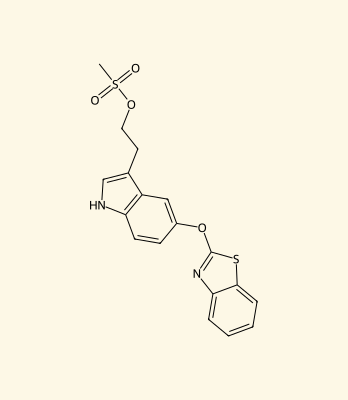 CS(=O)(=O)OCCc1c[nH]c2ccc(Oc3nc4ccccc4s3)cc12